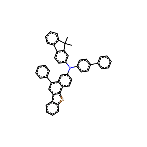 CC1(C)c2ccccc2-c2ccc(N(c3ccc(-c4ccccc4)cc3)c3ccc4c(c3)c(-c3ccccc3)cc3c5ccccc5sc43)cc21